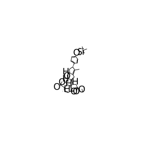 COC(=O)CC1[C@@H]2CC3=C(C)[C@H](c4ccc(O[Si](C)(C)C(C)(C)C)cc4)C[C@H]3O[C@@H]2[C@@H]2OC(=O)[C@]3(C)C=CC(=O)C1(C)[C@@H]23